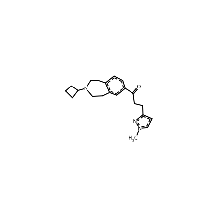 Cn1ccc(CCC(=O)c2ccc3c(c2)CCN(C2CCC2)CC3)n1